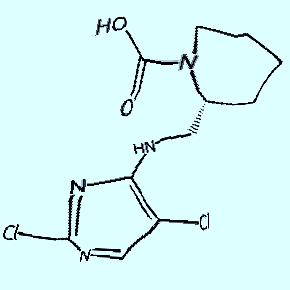 O=C(O)N1CCCC[C@@H]1CNc1nc(Cl)ncc1Cl